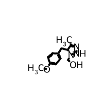 COc1ccc(CC2C(C)=NNN2CO)cc1